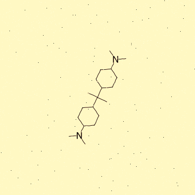 CN(C)C1CCC(C(C)(C)C2CCC(N(C)C)CC2)CC1